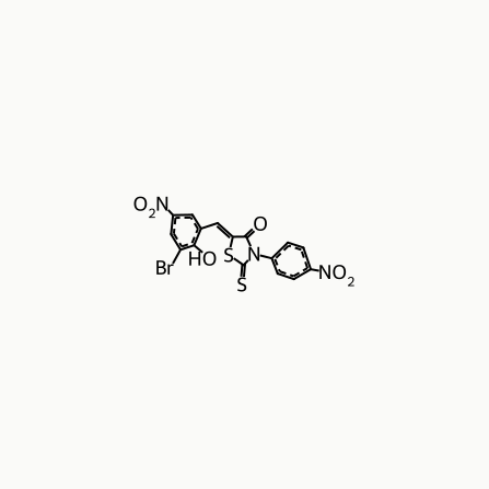 O=C1/C(=C/c2cc([N+](=O)[O-])cc(Br)c2O)SC(=S)N1c1ccc([N+](=O)[O-])cc1